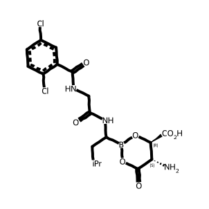 CC(C)CC(NC(=O)CNC(=O)c1cc(Cl)ccc1Cl)B1OC(=O)[C@@H](N)[C@H](C(=O)O)O1